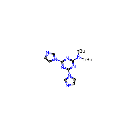 CCCCN(CCCC)c1nc(-n2ccnc2)nc(-n2ccnc2)n1